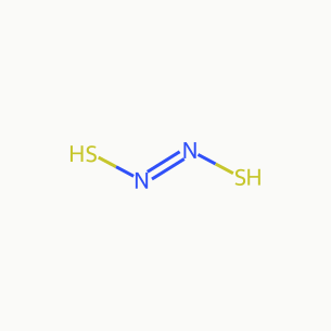 SN=NS